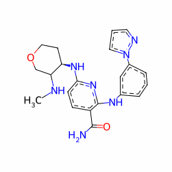 CNC1COCC[C@H]1Nc1ccc(C(N)=O)c(Nc2cccc(-n3cccn3)c2)n1